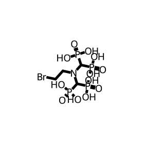 O=P(O)(O)C(N(CCBr)C(P(=O)(O)O)P(=O)(O)O)P(=O)(O)O